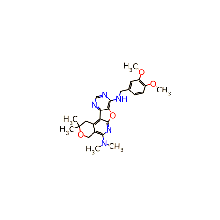 COc1ccc(CNc2ncnc3c2oc2nc(N(C)C)c4c(c23)CC(C)(C)OC4)cc1OC